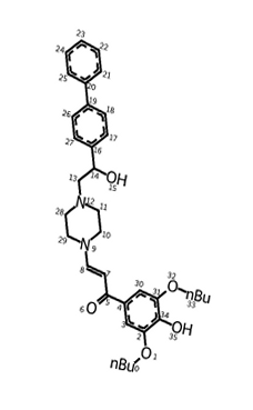 CCCCOc1cc(C(=O)C=CN2CCN(CC(O)c3ccc(-c4ccccc4)cc3)CC2)cc(OCCCC)c1O